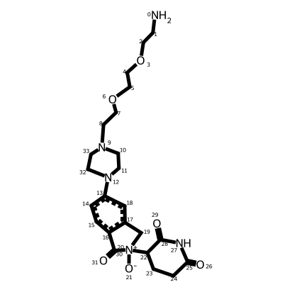 NCCOCCOCCN1CCN(c2ccc3c(c2)C[N+]([O-])(C2CCC(=O)NC2=O)C3=O)CC1